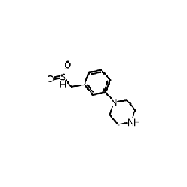 O=[SH](=O)Cc1cccc(N2CCNCC2)c1